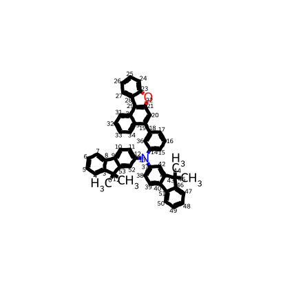 CC1(C)c2ccccc2-c2ccc(N(c3cccc(-c4cc5oc6ccccc6c5c5ccccc45)c3)c3ccc4c(c3)C(C)(C)c3ccccc3-4)cc21